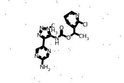 CC(OC(=O)Nc1c(-c2cnc(N)cn2)nnn1C)c1cccnc1Cl